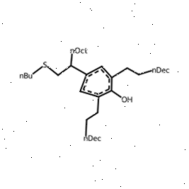 CCCCCCCCCCCCc1cc(C(CCCCCCCC)CSCCCC)cc(CCCCCCCCCCCC)c1O